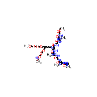 CCOC(=O)CCNC(=O)c1nc(NC(=O)CCNC(=O)c2cc(NC(=O)c3nc(NC(=O)CCNC(=O)c4cc(NC(=O)c5nccn5C)cn4C)cn3C)cn2CCCCCC(CCOCCOCCOCCOC)CCOCCOCCONCOC)cn1C